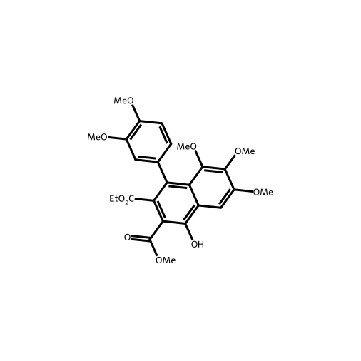 CCOC(=O)c1c(C(=O)OC)c(O)c2cc(OC)c(OC)c(OC)c2c1-c1ccc(OC)c(OC)c1